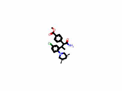 COC(=O)c1ccc(C(C(N)=O)C(C)c2cc(Cl)ccc2N2C[C@H](C)C[C@H](C)C2)cc1